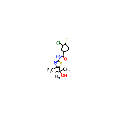 CC(C)(O)c1sc(NC(=O)C2CCC(F)C(Cl)C2)nc1C(F)(F)F